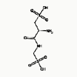 NC(CS(=O)(=O)O)C(=O)NCS(=O)(=O)O